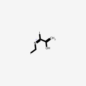 C=C(O)/C(I)=N\CI